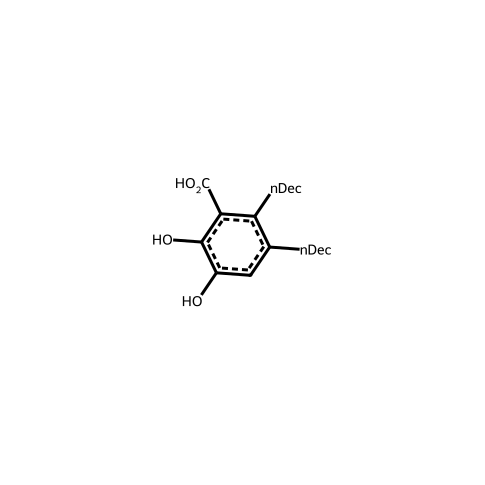 CCCCCCCCCCc1cc(O)c(O)c(C(=O)O)c1CCCCCCCCCC